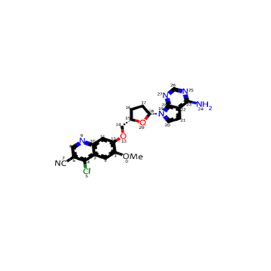 COc1cc2c(Cl)c(C#N)cnc2cc1OC[C@@H]1CC[C@H](n2ccc3c(N)ncnc32)O1